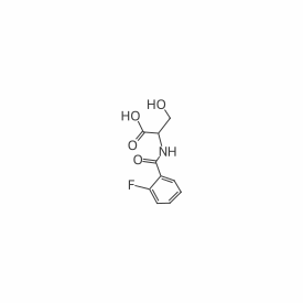 O=C(NC(CO)C(=O)O)c1ccccc1F